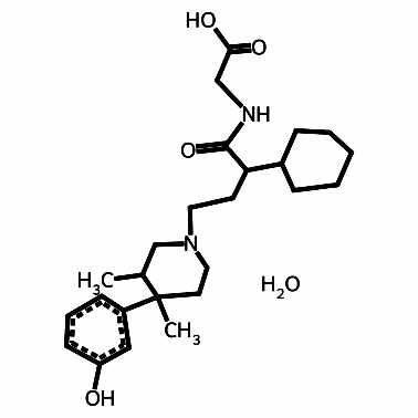 CC1CN(CCC(C(=O)NCC(=O)O)C2CCCCC2)CCC1(C)c1cccc(O)c1.O